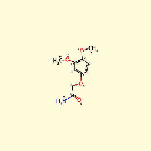 COc1ccc(OCC(N)=O)cc1OC